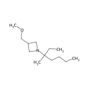 CCCCC(C)(CC)N1CC(COC)C1